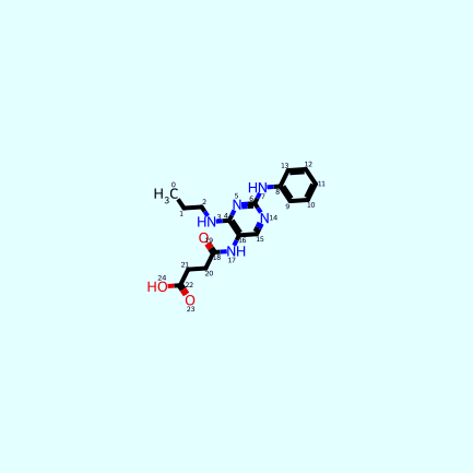 CCCNc1nc(Nc2ccccc2)ncc1NC(=O)CCC(=O)O